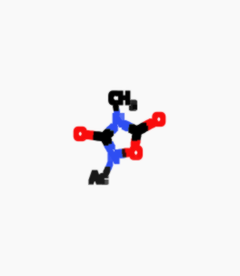 CC(=O)n1oc(=O)n(C)c1=O